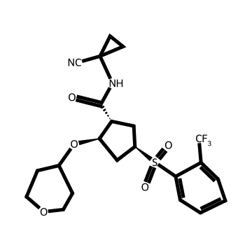 N#CC1(NC(=O)[C@@H]2C[C@@H](S(=O)(=O)c3ccccc3C(F)(F)F)C[C@H]2OC2CCOCC2)CC1